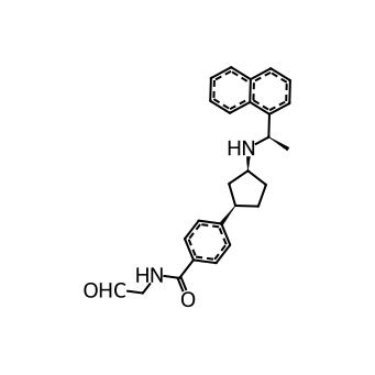 C[C@@H](N[C@H]1CC[C@@H](c2ccc(C(=O)NCC=O)cc2)C1)c1cccc2ccccc12